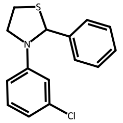 Clc1cccc(N2CCSC2c2ccccc2)c1